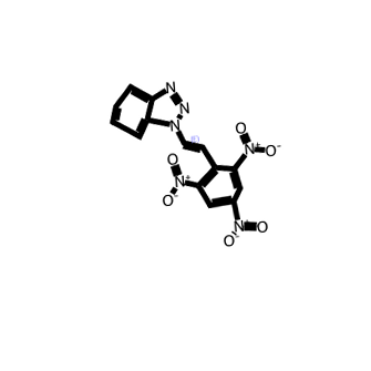 O=[N+]([O-])c1cc([N+](=O)[O-])c(/C=C/n2nnc3ccccc32)c([N+](=O)[O-])c1